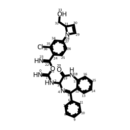 N=C(NC1N=C(c2ccccc2)c2ccccc2NC1=O)OC(=N)c1ccc(N2C=CC2CO)cc1Cl